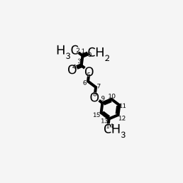 C=C(C)C(=O)OCCOc1cccc(C)c1